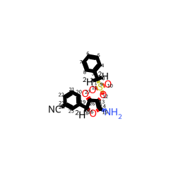 [2H]C([2H])(c1ccccc1)S(=O)(=O)OC1=C(N)O[C@]([2H])(c2cccc(C#N)c2)C1=O